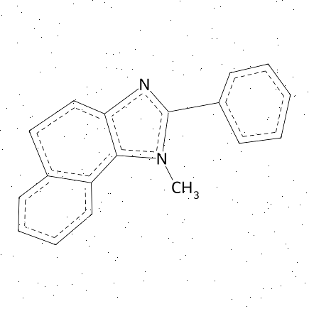 Cn1c(-c2ccccc2)nc2ccc3ccccc3c21